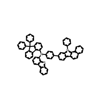 c1ccc(-n2c3cc(-c4ccc(N(c5cccc6c5-c5ccccc5C6(c5ccccc5)c5ccccc5)c5cccc6c5sc5ccccc56)cc4)ccc3c3ccc4ccccc4c32)cc1